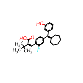 CC(C)(C)C(=Cc1ccc(C(=C2CCCCCC2)c2cccc(O)c2)cc1F)C(=O)O